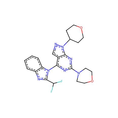 FC(F)c1nc2ccccc2n1-c1nc(N2CCOCC2)nc2c1cnn2C1CCOCC1